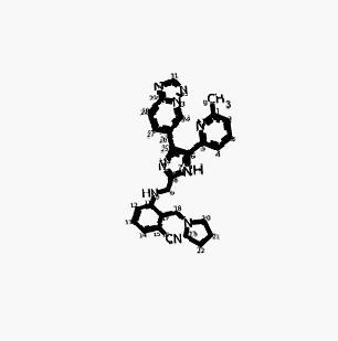 Cc1cccc(-c2[nH]c(CNC3C=CC=C(C#N)C3CN3CCCC3)nc2-c2ccc3ncnn3c2)n1